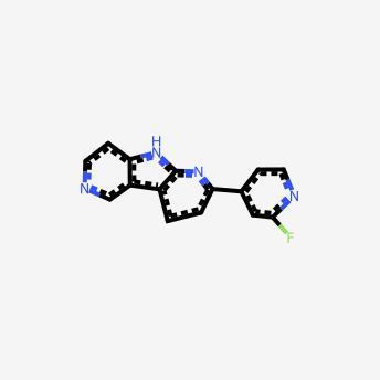 Fc1cc(-c2ccc3c(n2)[nH]c2ccncc23)ccn1